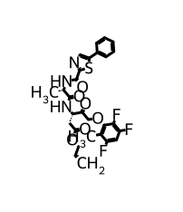 C=CCOC(=O)C[C@H](NC(=O)[C@H](C)NC(=O)c1ncc(-c2ccccc2)s1)C(=O)COc1c(C)c(F)cc(F)c1F